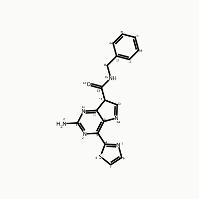 Nc1nc(-c2nccs2)c2c(n1)C(C(=O)NCc1ccccc1)C=N2